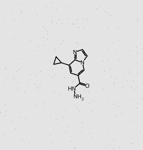 NNC(=O)c1cc(C2CC2)c2nccn2c1